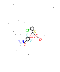 COCCOC(=O)c1sc2cccc(Cl)c2c1COc1c(F)cc(C(N)=O)cc1F